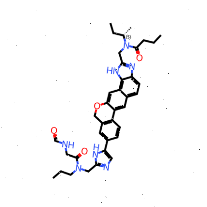 CCCC(=O)N(Cc1nc2ccc3cc4c(cc3c2[nH]1)OCc1cc(-c2cnc(CN(CCC)C(=O)CNC=O)[nH]2)ccc1-4)[C@@H](C)CC